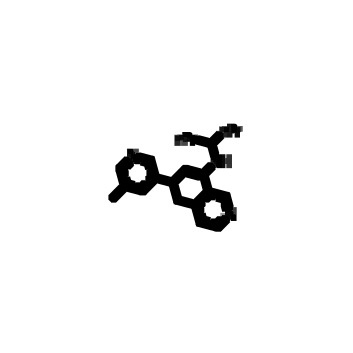 CCCC(CCC)NC1=CC(c2cncc(C)c2)Cc2ccncc21